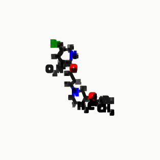 CC(C)(C)[Si](C)(C)OC1CCCN(CCCOc2ncc(Br)cc2[N+](=O)[O-])C1